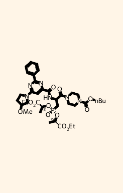 CCCCOC(=O)N1CCN(C(=O)C(CP(=O)(O[C@@H](C)C(=O)OCC)O[C@@H](C)C(=O)OCC)NC(=O)c2cc(N3CCC(OC)C3)nc(-c3ccccc3)n2)CC1